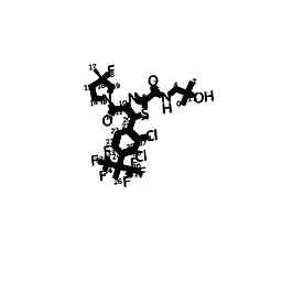 CC(C)(O)CNC(=O)c1nc(C(=O)N2CC[C@](C)(F)C2)c(-c2ccc(C(C)(C(F)(F)F)C(F)(F)F)c(Cl)c2Cl)s1